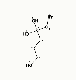 CC(C)O[Si](O)(O)CCCO